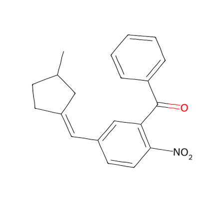 CC1CCC(=Cc2ccc([N+](=O)[O-])c(C(=O)c3ccccc3)c2)C1